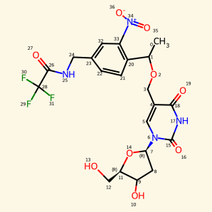 CC(OCc1cn([C@H]2CC(O)[C@@H](CO)O2)c(=O)[nH]c1=O)c1ccc(CNC(=O)C(F)(F)F)cc1[N+](=O)[O-]